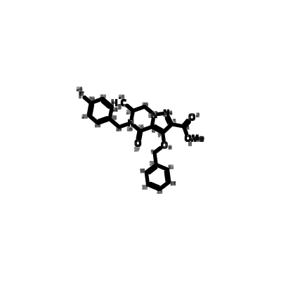 COC(=O)c1nn2c(c1OCc1ccccc1)C(=O)N(Cc1ccc(F)cc1)C(C)C2